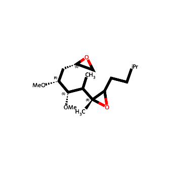 CO[C@H](C[C@H]1CO1)[C@@H](OC)C(C)[C@@]1(C)OC1CCC(C)C